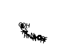 CC(C)(Sc1nc(CCNc2cnc(-c3ccc(OC(F)(F)F)cc3)cn2)cs1)C(=O)O